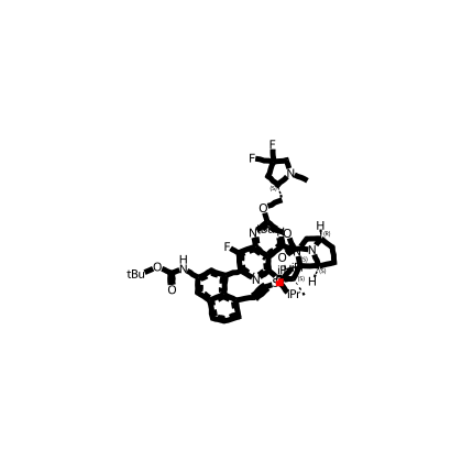 CC(C)[Si](C#Cc1cccc2cc(NC(=O)OC(C)(C)C)cc(-c3nc4c5c(nc(OC[C@@H]6CC(F)(F)CN6C)nc5c3F)N3C[C@H]5CC[C@@H]([C@H]3[C@H](C)O4)N5C(=O)OC(C)(C)C)c12)(C(C)C)C(C)C